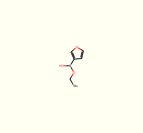 CC(C)(C)COB(O)c1ccoc1